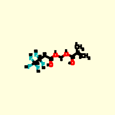 C=C(C)C(=O)OCOC(=O)CC(F)(F)C(F)(F)F